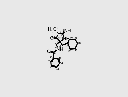 CN1C(=N)NC(CNC(=O)c2ccccc2)(CC2CCCCC2)C1=O